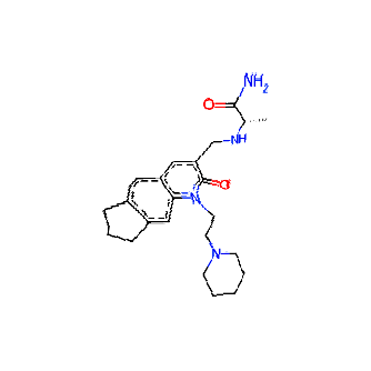 C[C@H](NCc1cc2cc3c(cc2n(CCN2CCCCC2)c1=O)CCC3)C(N)=O